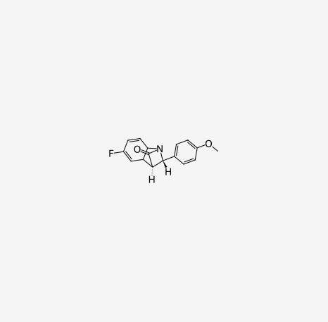 COc1ccc([C@@H]2[C@@H]3C(=O)N2C2C=CC(F)=CC23)cc1